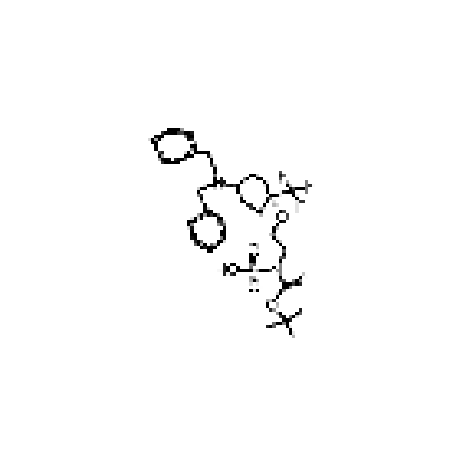 CC(C)(C)OC(=O)N(CCO[C@]1(C(F)(F)F)CC[C@@H](N(Cc2ccccc2)Cc2ccccc2)CC1)S(=O)(=O)O